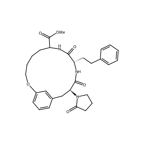 COC(=O)C1CCCCOc2cccc(c2)C[C@H](N2CCCC2=O)C(=O)N[C@@H](CCc2ccccc2)C(=O)N1